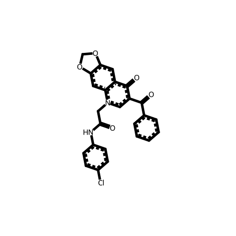 O=C(Cn1cc(C(=O)c2ccccc2)c(=O)c2cc3c(cc21)OCO3)Nc1ccc(Cl)cc1